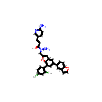 Nc1ccc(/C=C/C(=O)N(N)Cc2cc3cc(-c4ccc5occc5c4)cc(-c4ccc(F)cc4F)c3o2)cn1